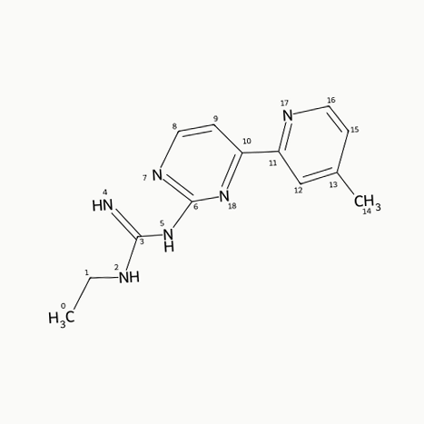 CCNC(=N)Nc1nccc(-c2cc(C)ccn2)n1